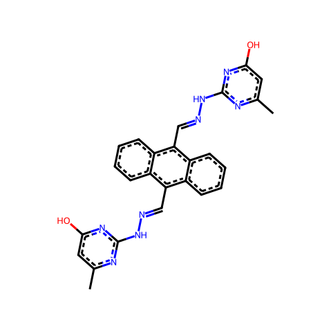 Cc1cc(O)nc(N/N=C/c2c3ccccc3c(/C=N/Nc3nc(C)cc(O)n3)c3ccccc23)n1